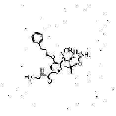 C=NN(/C(=C(\N)C(N)=O)C(F)(F)F)c1ccc(C(=O)NCC)cc1OCCCc1ccccc1